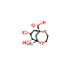 CC(C)(C)C12C[C@@](CO)(SCCO1)[C@@H](O)[C@H](O)[C@H]2O